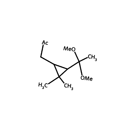 COC(C)(OC)C1C(CC(C)=O)C1(C)C